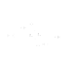 CC(C)CN1C(=O)N(CC(C)C)C1=O